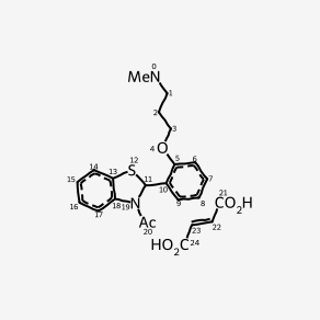 CNCCCOc1ccccc1C1Sc2ccccc2N1C(C)=O.O=C(O)/C=C/C(=O)O